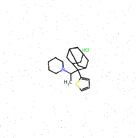 CC(N1CCCCC1)C1(c2cccs2)C2CC3CC(C2)CC1C3.Cl